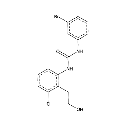 O=C(Nc1cccc(Br)c1)Nc1cccc(Cl)c1CCO